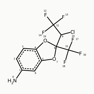 Nc1ccc2c(c1)OC(C(Cl)C(F)(F)F)(C(F)(F)F)O2